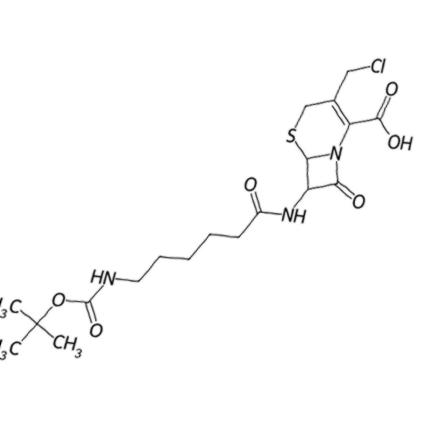 CC(C)(C)OC(=O)NCCCCCC(=O)NC1C(=O)N2C(C(=O)O)=C(CCl)CSC12